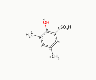 Cc1cc(C)c(O)c(S(=O)(=O)O)c1